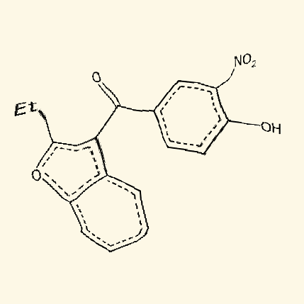 CCc1oc2ccccc2c1C(=O)c1ccc(O)c([N+](=O)[O-])c1